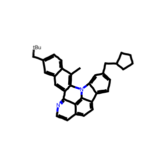 Cc1c2ccc(CC(C)(C)C)cc2cc2c3nccc4ccc5c6ccc(CC7CCCC7)cc6n(c12)c5c43